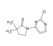 CC1(C)CCN(c2ccnc(Cl)n2)C1=O